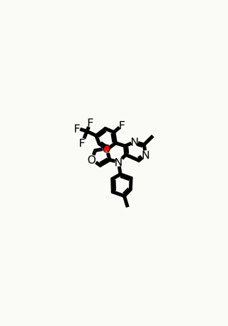 Cc1ccc(N(C2=COCO2)c2cnc(C)nc2-c2ccc(C(F)(F)F)cc2F)cc1